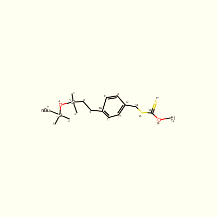 CCCC[Si](C)(C)O[Si](C)(C)CCc1ccc(CSC(=S)OCC)cc1